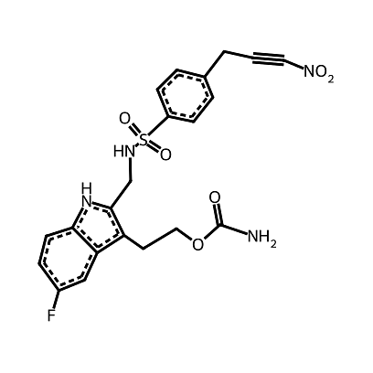 NC(=O)OCCc1c(CNS(=O)(=O)c2ccc(CC#C[N+](=O)[O-])cc2)[nH]c2ccc(F)cc12